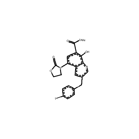 COC(=O)c1cc(N2CCOC2=O)c2cc(Cc3ccc(F)cc3)cnc2c1O